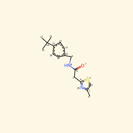 Cc1csc(CC(=O)NCc2ccc(C(C)(C)C)cc2)n1